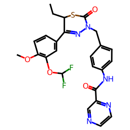 CCC1SC(=O)N(Cc2ccc(NC(=O)c3cnccn3)cc2)N=C1c1ccc(OC)c(OC(F)F)c1